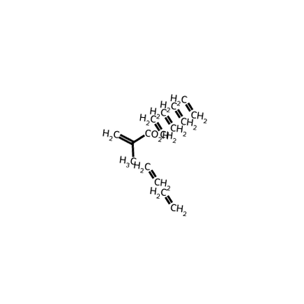 C=C.C=C.C=C.C=C.C=C.C=C.C=C(C)C(=O)O